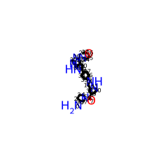 N[C@@H]1CCCN(C(=O)c2ccnc(CNc3ccc(-c4cc5c(N6CCOCC6)ncnc5[nH]4)cc3)c2)C1